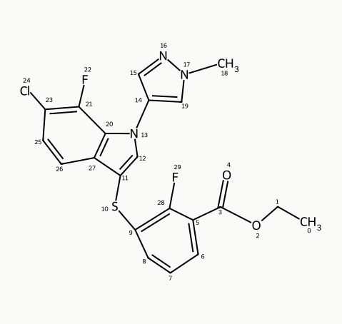 CCOC(=O)c1cccc(Sc2cn(-c3cnn(C)c3)c3c(F)c(Cl)ccc23)c1F